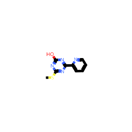 CSc1nc(O)nc(-c2ccccn2)n1